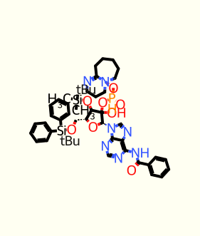 CC(C)(C)[Si](C)(C)OC1[C@@H](CO[Si](c2ccccc2)(c2ccccc2)C(C)(C)C)O[C@@H](n2cnc3c(NC(=O)c4ccccc4)ncnc32)C1(O)O[PH](=O)O[N+]12CCCCCC1=NCCC2